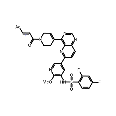 COc1ncc(-c2ccc3ncnc(C4=CCN(C(=O)/C=C/C(C)=O)CC4)c3n2)cc1NS(=O)(=O)c1ccc(F)cc1F